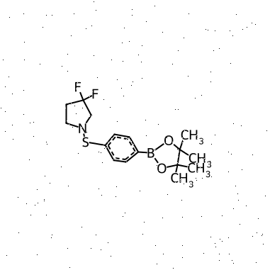 CC1(C)OB(c2ccc(SN3CCC(F)(F)C3)cc2)OC1(C)C